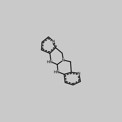 c1cnc2c(c1)NC1Nc3cccnc3CN1C2